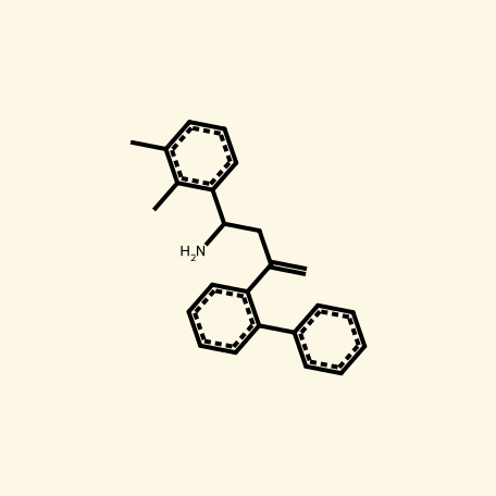 C=C(CC(N)c1cccc(C)c1C)c1ccccc1-c1ccccc1